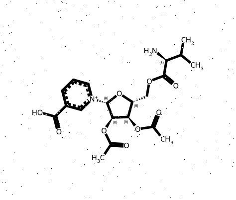 CC(=O)O[C@@H]1[C@H](OC(C)=O)[C@@H](COC(=O)[C@@H](N)C(C)C)O[C@H]1[n+]1cccc(C(=O)O)c1